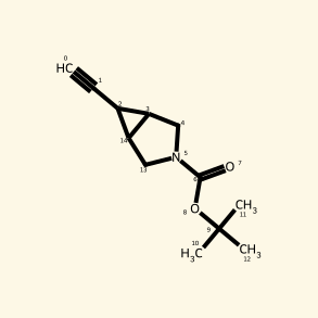 C#CC1C2CN(C(=O)OC(C)(C)C)CC12